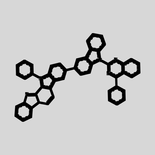 C1=CC2C(=Nc3ccccc32)c2c1c1cc(-c3ccc4c(c3)c3ccccc3n4-c3nc(-c4ccccc4)c4ccccc4n3)ccc1n2-c1ccccc1